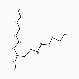 [CH2]CC(CCCCCCC)CCCCCCCC